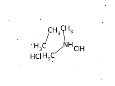 CC.CNC.Cl.Cl